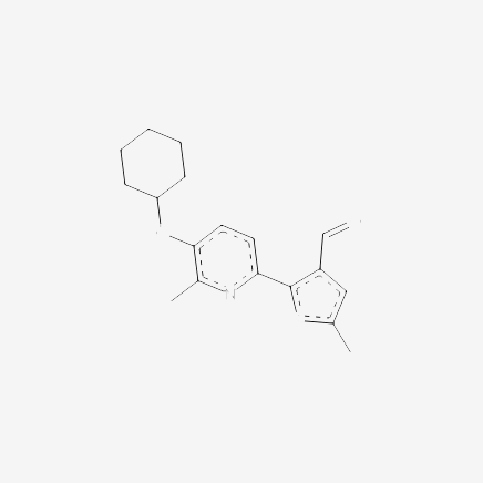 Cc1cc(C=O)c(-c2ccc(OC3CCCCC3)c(C)n2)s1